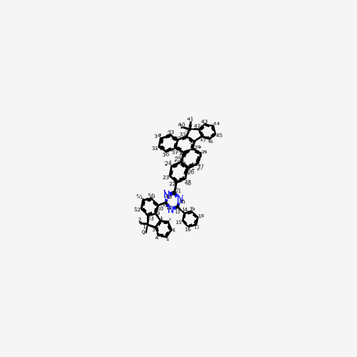 CC1(C)c2ccccc2-c2c(-c3nc(-c4ccccc4)nc(-c4ccc5c(ccc6c7c(c8ccccc8c65)C(C)(C)c5ccccc5-7)c4)n3)cccc21